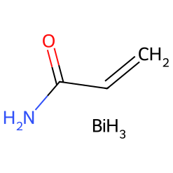 C=CC(N)=O.[BiH3]